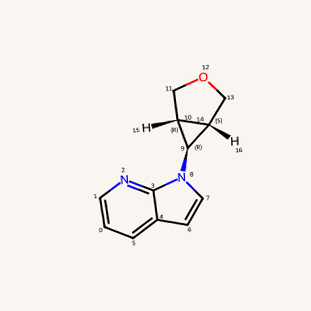 c1cnc2c(c1)ccn2[C@H]1[C@@H]2COC[C@@H]21